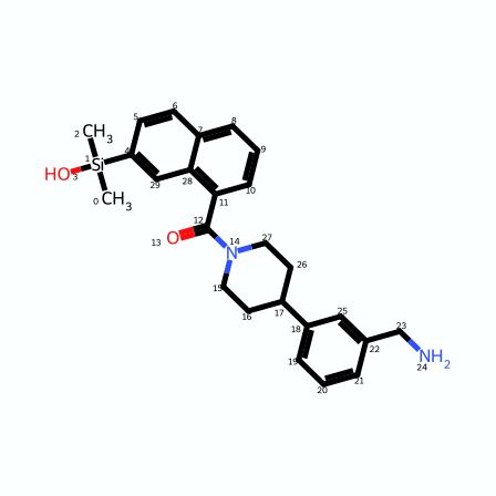 C[Si](C)(O)c1ccc2cccc(C(=O)N3CCC(c4cccc(CN)c4)CC3)c2c1